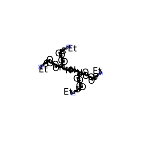 CC/C=C\CCSC(C)C(=O)OCCOC(=O)CCN(CCCN1CCN(CCCN(CCC(=O)OCCOC(=O)C(C)SCC/C=C\CC)CCC(=O)OCCOC(=O)C(C)SCC/C=C\CC)CC1)CCC(=O)OCCOC(=O)C(C)SCC/C=C\CC